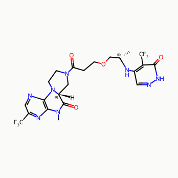 C[C@@H](COCCC(=O)N1CCN2c3ncc(C(F)(F)F)nc3N(C)C(=O)[C@H]2C1)Nc1cn[nH]c(=O)c1C(F)(F)F